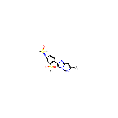 CCS(=O)(=O)c1cc(N=S(C)(C)=O)ccc1-c1cn2cnc(C(F)(F)F)cc2n1